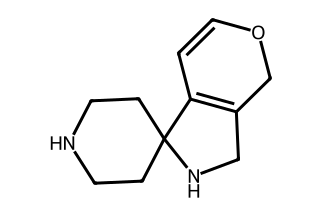 C1=CC2=C(CNC23CCNCC3)CO1